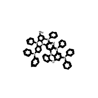 CC(C)(C)c1cc2c3c(c1)N(c1ccccc1)c1nc4c(cc1B3c1ccc(N(c3ccccc3)c3ccccc3)cc1N2c1ccccc1)B1c2ccccc2Oc2cc(N(c3ccccc3)c3ccccc3)cc(c21)N4c1ccccc1